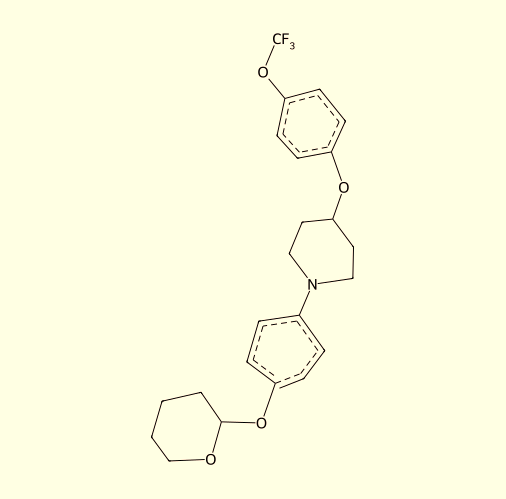 FC(F)(F)Oc1ccc(OC2CCN(c3ccc(OC4CCCCO4)cc3)CC2)cc1